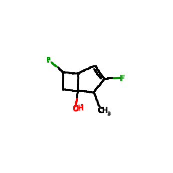 CC1C(F)=CC2C(F)CC12O